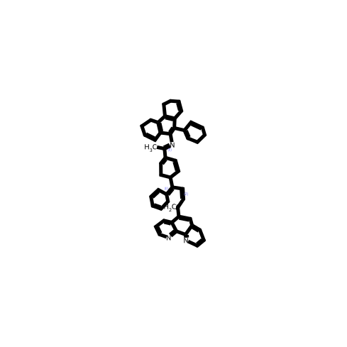 C=C(/C=C\C(=C1\C=CC=CC1)C1C=CC(/C(C)=N/c2c3c(c4c(c2C2=CCCC=C2)C=CCC4)CCC=C3)=CC1)c1cc2cccnc2c2ncccc12